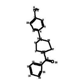 CCCc1ccc(N2CCN(C(=O)c3ccccc3)CC2)cc1